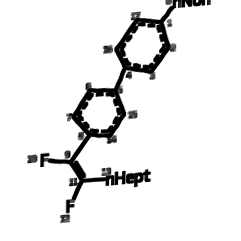 CCCCCCCCCc1ccc(-c2ccc(/C(F)=C(/F)CCCCCCC)cc2)cc1